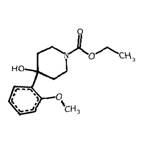 CCOC(=O)N1CCC(O)(c2ccccc2OC)CC1